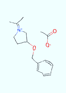 CC(=O)[O-].CC(C)=[N+]1CCC(OCc2ccccc2)C1